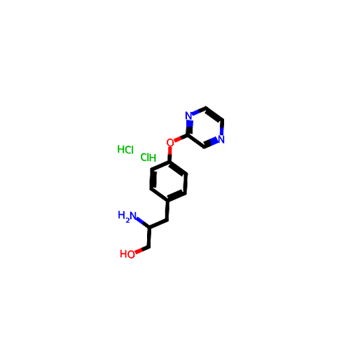 Cl.Cl.NC(CO)Cc1ccc(Oc2cnccn2)cc1